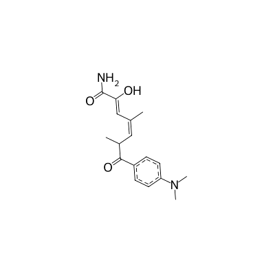 CC(=CC(C)C(=O)c1ccc(N(C)C)cc1)C=C(O)C(N)=O